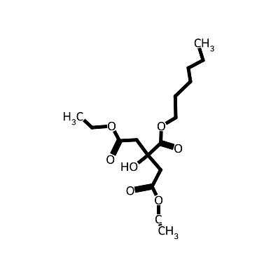 CCCCCCOC(=O)C(O)(CC(=O)OCC)CC(=O)OCC